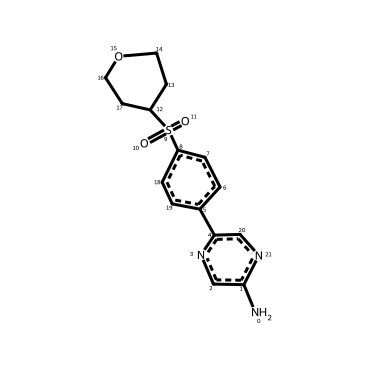 Nc1cnc(-c2ccc(S(=O)(=O)C3CCOCC3)cc2)cn1